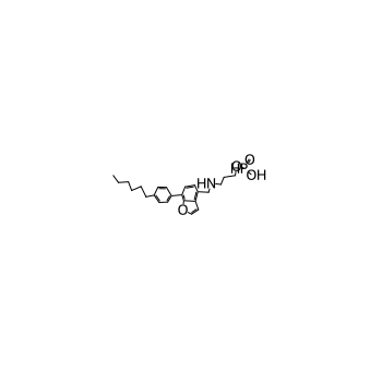 CCCCCCc1ccc(-c2ccc(CNCCCO[PH](=O)O)c3ccoc23)cc1